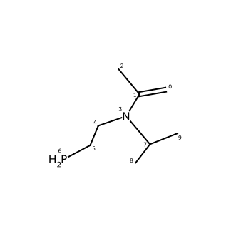 C=C(C)N(CCP)C(C)C